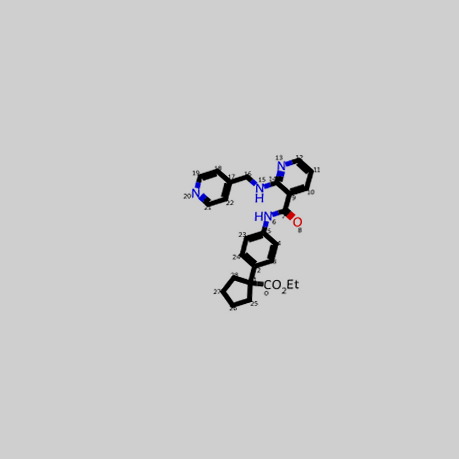 CCOC(=O)C1(c2ccc(NC(=O)c3cccnc3NCc3ccncc3)cc2)CCCC1